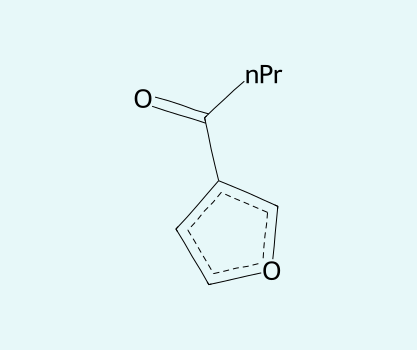 CCCC(=O)c1ccoc1